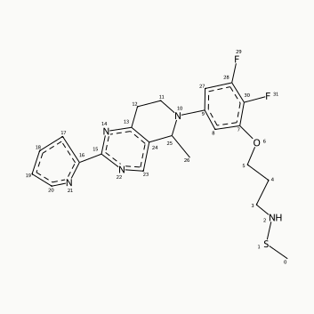 CSNCCCOc1cc(N2CCc3nc(-c4ccccn4)ncc3C2C)cc(F)c1F